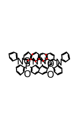 O=P12c3c4cccc3N(c3ccccc3)c3cccc(c31)N(c1ccccc1)c1c2c(cc2cc3c5c(c12)N(c1ccccc1)c1cccc2c1P5(=O)c1c(cccc1N2c1ccccc1)O3)O4